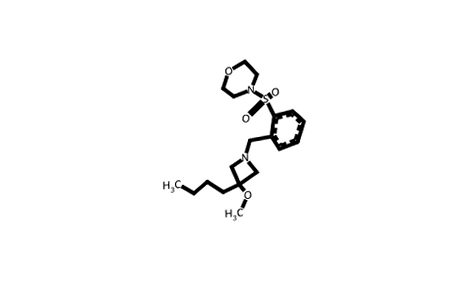 CCCCC1(OC)CN(Cc2ccccc2S(=O)(=O)N2CCOCC2)C1